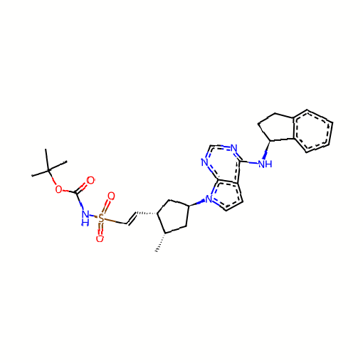 C[C@H]1C[C@H](n2ccc3c(N[C@H]4CCc5ccccc54)ncnc32)C[C@H]1/C=C/S(=O)(=O)NC(=O)OC(C)(C)C